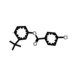 CC(C)(C)c1[c]ccc(OC(=O)c2ccc(Cl)cc2)c1